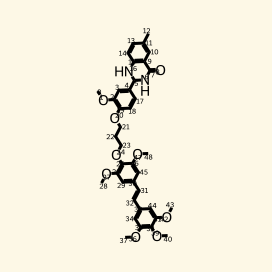 COc1cc(C2NC(=O)c3cc(C)ccc3N2)ccc1OCCCOc1c(OC)cc(/C=C/c2cc(OC)c(OC)c(OC)c2)cc1OC